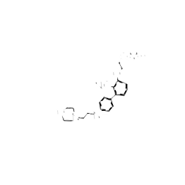 COCCOc1cccc(-c2ccc(NCCN3CCOCC3)cc2)c1C#N